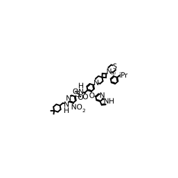 CC(C)c1ccccc1[C@H]1CSCCN1C1CC2(CCN(c3ccc(C(=O)NS(=O)(=O)c4cnc(NCC5CCC(C)(C)CC5)c([N+](=O)[O-])c4)c(Oc4cnc5[nH]ccc5c4)c3)CC2)C1